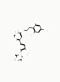 CCOc1cc(-c2cc(NCCc3c(F)cc(Br)cc3F)ncn2)sc1-n1nn[nH]c1=O